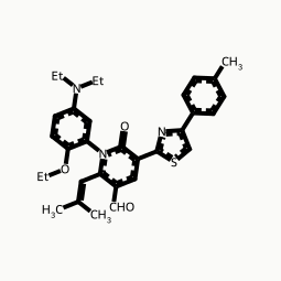 CCOc1ccc(N(CC)CC)cc1-n1c(C=C(C)C)c(C=O)cc(-c2nc(-c3ccc(C)cc3)cs2)c1=O